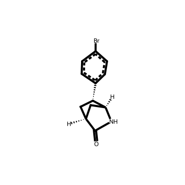 O=C1N[C@H]2C[C@@H]1C[C@@H]2c1ccc(Br)cc1